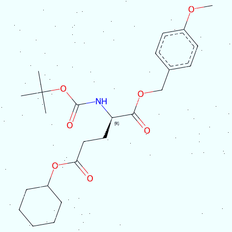 COc1ccc(COC(=O)[C@@H](CCC(=O)OC2CCCCC2)NC(=O)OC(C)(C)C)cc1